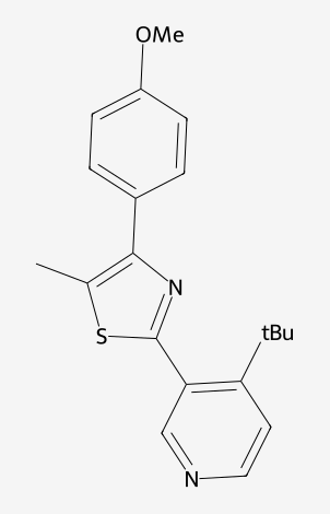 COc1ccc(-c2nc(-c3cnccc3C(C)(C)C)sc2C)cc1